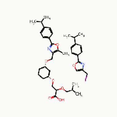 CC(C)c1ccc(-c2nc(CI)co2)cc1.Cc1oc(-c2ccc(C(C)C)cc2)nc1CO[C@H]1CCC[C@@H](OCC(OCC(C)C)C(=O)O)C1